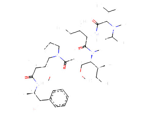 CC[C@H](C)[C@@H]([C@@H](CC(=O)N1CCC[C@H]1[C@H](OC)[C@@H](C)C(=O)N[C@H](C)[C@@H](O)c1ccccc1)OC)N(C)C(=O)[C@@H](NC(=O)[C@H](C(C)C)N(C)C(C)C)[C@@H](C)CC